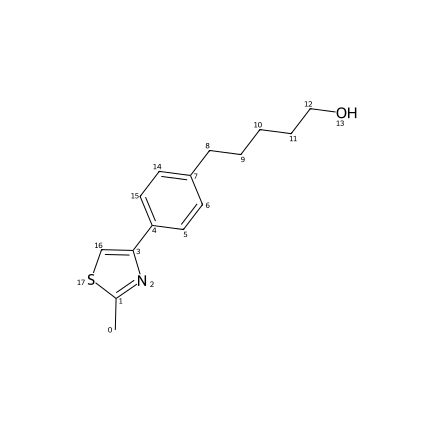 Cc1nc(-c2ccc(CCCCCO)cc2)cs1